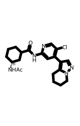 CC(=O)N[C@@H]1CCCC(C(=O)Nc2cc(-c3cnn4c3CCCC4)c(Cl)cn2)C1